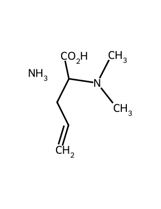 C=CCC(C(=O)O)N(C)C.N